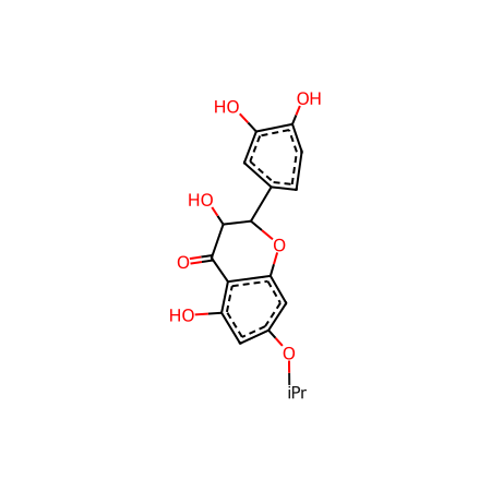 CC(C)Oc1cc(O)c2c(c1)OC(c1ccc(O)c(O)c1)C(O)C2=O